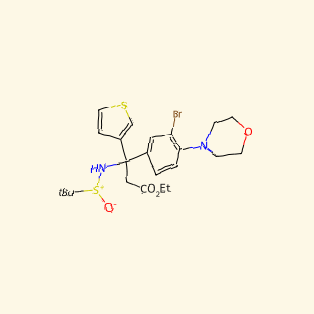 CCOC(=O)CC(N[S+]([O-])C(C)(C)C)(c1ccsc1)c1ccc(N2CCOCC2)c(Br)c1